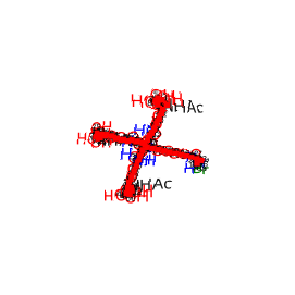 CC(=O)N[C@@H]1[C@@H](O)[C@@H](O)[C@@H](CO)O[C@@H]1CCCOCCOCCNC(=O)CCOCC(COCCC(=O)NCCOCCOCCC[C@H]1O[C@H](CO)[C@H](O)[C@H](O)[C@H]1NC(C)=O)(COCCC(=O)NCCOCCOCCC[C@H]1O[C@H](CO)[C@H](O)[C@H](O)[C@H]1NC(C)=O)NC(=O)CCOCCOCCOCCOCCNC(=O)c1ccnc(CBr)c1